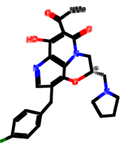 CNC(=O)c1c(O)c2ncc(Cc3ccc(F)cc3)c3c2n(c1=O)C[C@H](CN1CCCC1)O3